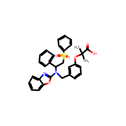 CC(C)(Oc1cccc(CN(c2nc3ccccc3o2)C(CS(=O)(=O)c2ccccc2)c2ccccc2)c1)C(=O)O